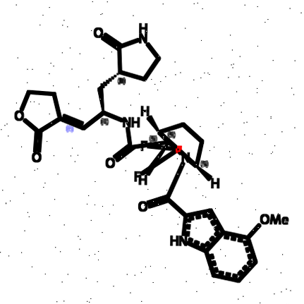 COc1cccc2[nH]c(C(=O)N3[C@H]4CC[C@@H]([C@H]3C(=O)N[C@@H](/C=C3\CCOC3=O)C[C@H]3CCNC3=O)C(F)(F)C4)cc12